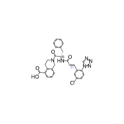 O=C(/C=C/c1cc(Cl)ccc1-n1cnnn1)N[C@@H](Cc1ccccc1)C(=O)N1CCc2c(cccc2C(=O)O)C1